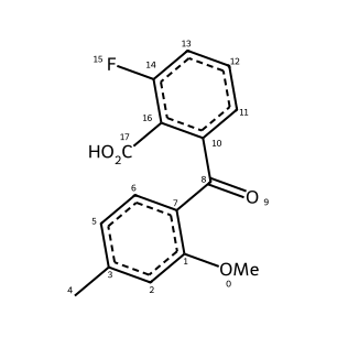 COc1cc(C)ccc1C(=O)c1cccc(F)c1C(=O)O